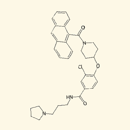 O=C(NCCCN1CCCC1)c1ccc(OC2CCN(C(=O)c3c4ccccc4cc4ccccc34)CC2)c(Cl)c1